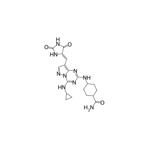 NC(=O)C1CCC(Nc2nc(NC3CC3)n3ncc(C=C4NC(=O)NC4=O)c3n2)CC1